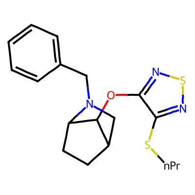 CCCSc1nsnc1OC1C2CCC1N(Cc1ccccc1)C2